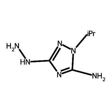 CC(C)n1nc(NN)nc1N